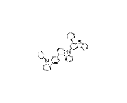 C1=CC(n2c3ccccc3c3ccc(-c4cccc5c4c4ccccc4n5-c4cc(-c5ccccc5)c5sc6ccccc6c5c4)cc32)=CCC1